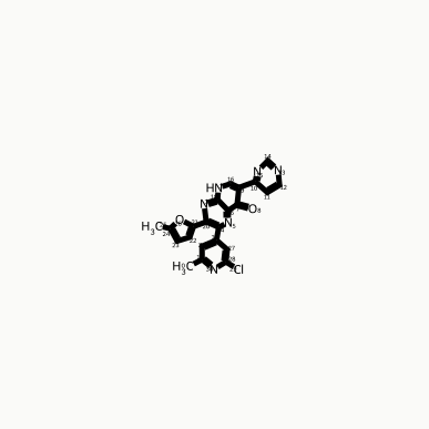 Cc1cc(-c2nc3c(=O)c(-c4ccncn4)c[nH]c3nc2-c2ccc(C)o2)cc(Cl)n1